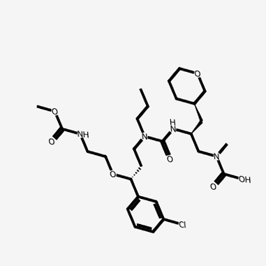 CCCN(CC[C@@H](OCCNC(=O)OC)c1cccc(Cl)c1)C(=O)N[C@@H](C[C@H]1CCCOC1)CN(C)C(=O)O